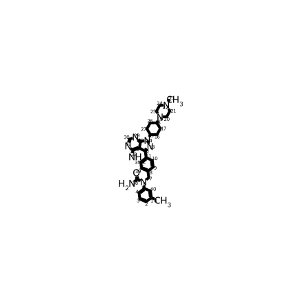 Cc1cccc(N(Cc2ccc(-c3nn(C4CCC(N5CCN(C)CC5)CC4)c4ncnc(N)c34)cc2)C(N)=O)c1